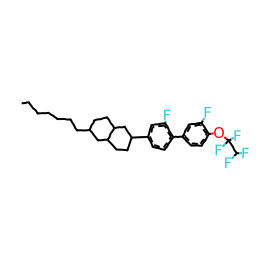 CCCCCCCC1CCC2CC(c3ccc(-c4ccc(OC(F)(F)C(F)F)c(F)c4)c(F)c3)CCC2C1